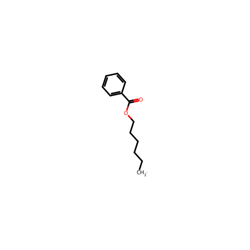 [CH2]CCCCCOC(=O)c1ccccc1